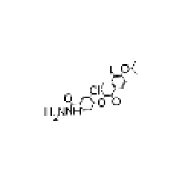 CCC(Oc1ccc(C(=O)NN)cc1Cl)C(=O)c1ccc(OC(C)C)c(I)c1